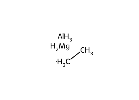 [AlH3].[CH2]C.[MgH2]